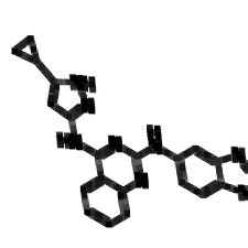 c1ccc2c(Nc3cc(C4CC4)[nH]n3)nc(Nc3ccc4[nH]cnc4c3)nc2c1